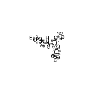 CCOP(C)(=O)Cc1csc(NC(=O)c2cc(Oc3ccc(S(C)(=O)=O)cc3)cc(OC3CCOC3)c2)n1